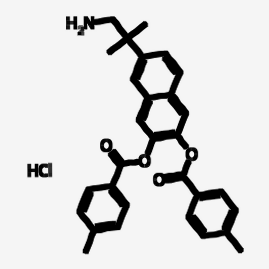 Cc1ccc(C(=O)Oc2cc3ccc(C(C)(C)CN)cc3cc2OC(=O)c2ccc(C)cc2)cc1.Cl